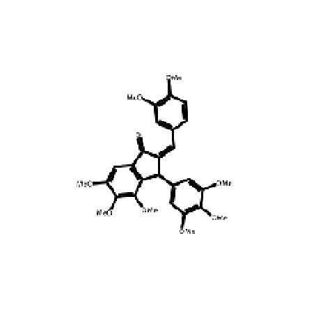 COc1ccc(/C=C2\C(=O)c3cc(OC)c(OC)c(OC)c3C2c2cc(OC)c(OC)c(OC)c2)cc1OC